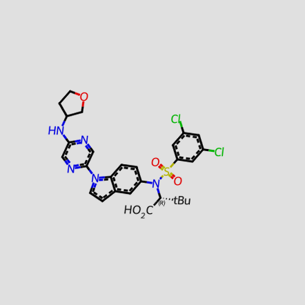 CC(C)(C)[C@H](C(=O)O)N(c1ccc2c(ccn2-c2cnc(NC3CCOC3)cn2)c1)S(=O)(=O)c1cc(Cl)cc(Cl)c1